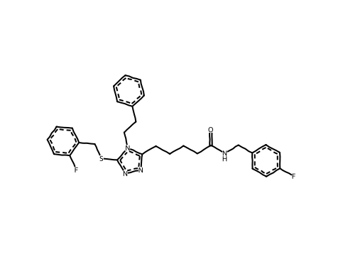 O=C(CCCCc1nnc(SCc2ccccc2F)n1CCc1ccccc1)NCc1ccc(F)cc1